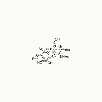 CC(=O)NC1[C@@H](O[C@@H]2OC(C(C)=O)[C@@H](OC(C)C)[C@H](O)C2O)[C@H](O)C(CO)O[C@H]1C(C)(C)C